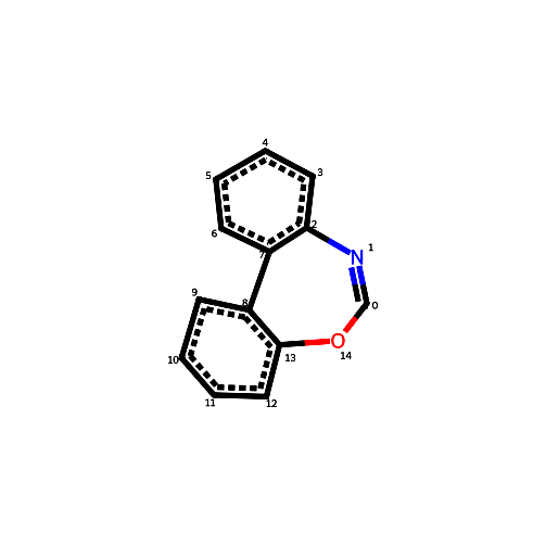 [C]1=Nc2ccccc2-c2ccccc2O1